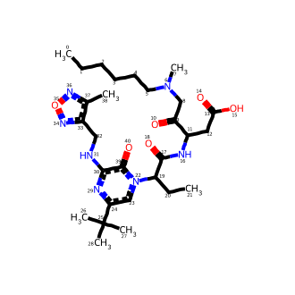 CCCCCCN(C)CC(=O)C(CC(=O)O)NC(=O)C(CC)n1cc(C(C)(C)C)nc(NCc2nonc2C)c1=O